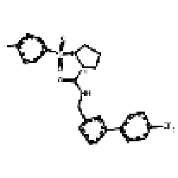 O=C(NCc1cccc(-c2ccc(C(F)(F)F)cc2)c1)[C@@H]1CCCN1S(=O)(=O)c1ccc(F)cc1